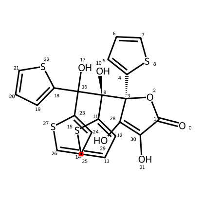 O=C1O[C@](c2cccs2)([C@](O)(c2cccs2)C(O)(c2cccs2)c2cccs2)C(O)=C1O